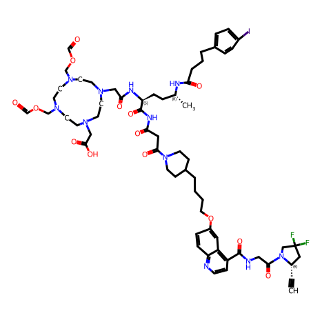 C#C[C@H]1CC(F)(F)CN1C(=O)CNC(=O)c1ccnc2ccc(OCCCCC3CCN(C(=O)CC(=O)NC(=O)[C@H](CC[C@@H](C)NC(=O)CCCc4ccc(I)cc4)NC(=O)CN4CCN(COC=O)CCN(COC=O)CCN(CC(=O)O)CC4)CC3)cc12